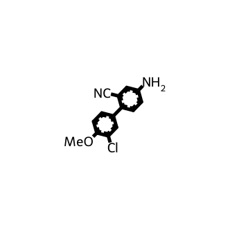 COc1ccc(-c2ccc(N)cc2C#N)cc1Cl